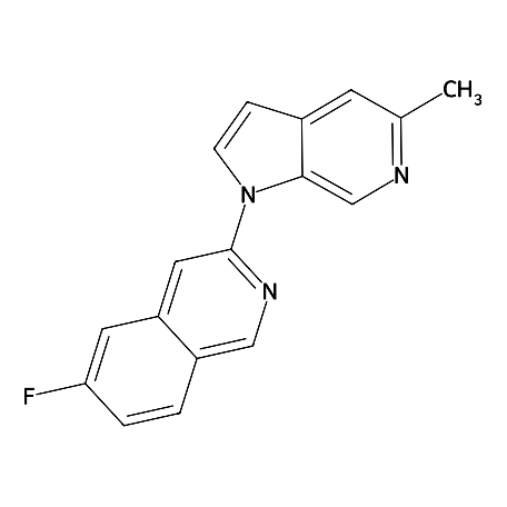 Cc1cc2ccn(-c3cc4cc(F)ccc4cn3)c2cn1